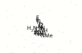 CNC(=O)c1nnc([C@@]2(C(N)=O)CC23CC3)cc1Nc1nc2ccc(N3CC[C@H](F)C3)cn2n1